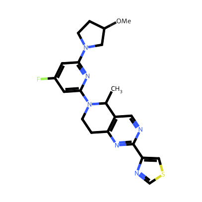 COC1CCN(c2cc(F)cc(N3CCc4nc(-c5cscn5)ncc4C3C)n2)C1